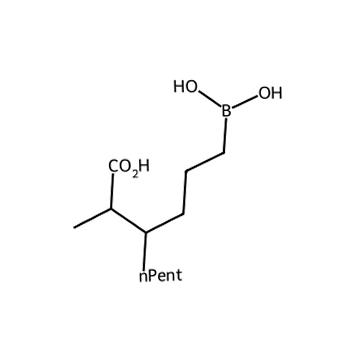 CCCCCC(CCCB(O)O)C(C)C(=O)O